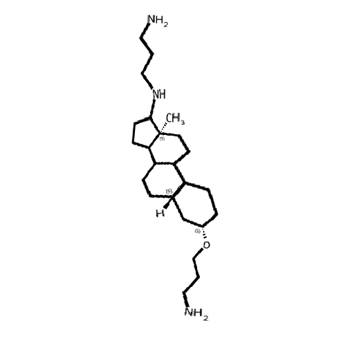 C[C@]12CCC3C(CC[C@H]4C[C@@H](OCCCN)CCC34)C1CCC2NCCCN